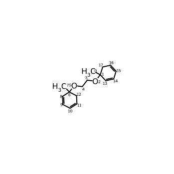 CC1(OCCOC2(C)C=CC=CC2)C=CC=CC1